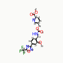 COC(=O)c1ccc(COC(=O)NCc2ccc(-c3noc(C(F)(F)F)n3)cc2OC)cn1